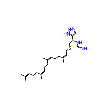 CC(C)=CCCC(C)=CCCC(C)=CCCC(C)=CCSCC(NC=N)c1cnn[nH]1